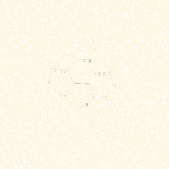 COC(=O)C1=C(C)NC(C)C(C(=O)OC)C1c1ccccc1Cl